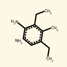 CCc1ccc(N)c(CC)c1C.N